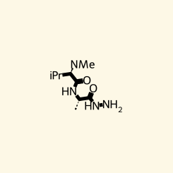 CN[C@H](C(=O)N[C@@H](C)C(=O)NN)C(C)C